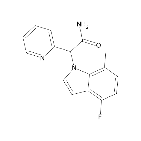 Cc1ccc(F)c2ccn(C(C(N)=O)c3ccccn3)c12